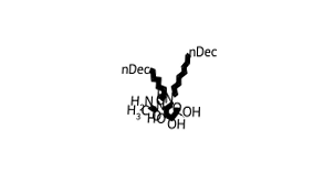 CCCCCCCCCCCCCCCCCCN(C(=O)CCCCCCCCCCCCCCC)[C@@H]1O[C@H](CO)[C@@H](O)[C@H](O)[C@H]1NC(=O)[C@H](C)N